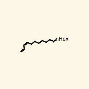 C=C/C=C\CCCCCC[CH]CCCCCC